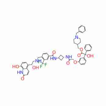 O=C(COc1cccc(C(O)(C(=O)OCC2CCN(Cc3ccccc3)CC2)c2ccccc2)c1)N[C@H]1C[C@H](NC(=O)c2ccc(CNC[C@H](O)c3ccc(O)c4[nH]c(=O)ccc34)c(C(F)(F)F)c2)C1